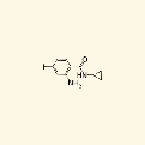 Nc1cc(I)ccc1C(=O)NC1CC1